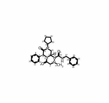 CN1CC(=O)N2[C@@H](c3ccccc3)C(=O)N(C3CCCC3)C[C@@H]2N1C(=O)NCc1ccccc1